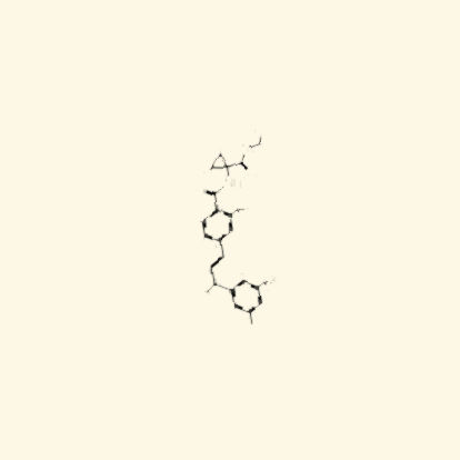 O=C(NC1(C(=O)NCC(F)(F)F)CC1)c1ccc(/C=C/C(c2cc(F)cc(Br)c2)C(F)(F)F)cc1Br